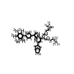 [2H]c1c([2H])c([2H])c(-c2ccc(-c3cnn4c(N(COCC[Si](C)(C)C)COCC[Si](C)(C)C)cc(C5CC6CCC(C6)C5)nc34)cn2)c([2H])c1[2H]